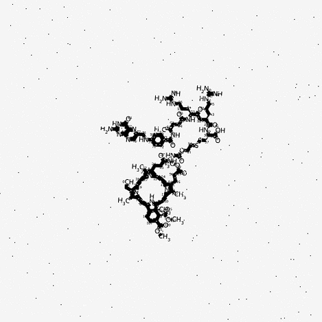 C=CC1=C(C)c2cc3[nH]c(cc4nc(cc5[nH]c(cc1n2)c(C)c5CCC(=O)NNC(=O)OCCSSC[C@H](NC(=O)[C@H](CCCNC(=N)N)CC(=O)[C@H](CCCNC(=N)N)NC(=O)CC[C@@H](C)NC(=O)c1ccc(NCc2cnc5nc(N)[nH]c(=O)c5n2)cc1)C(=O)O)C(CCC(=O)OC)=C4C)[C@]1(C)C3=CC=C(C(=O)OC)[C@@H]1C(=O)OC